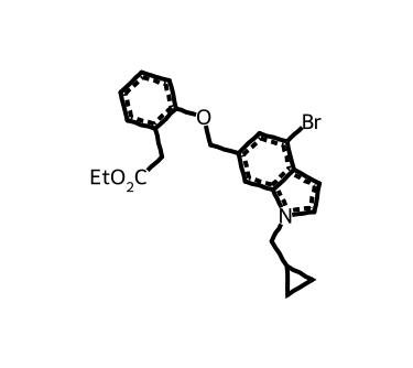 CCOC(=O)Cc1ccccc1OCc1cc(Br)c2ccn(CC3CC3)c2c1